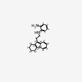 Nc1ccccc1NCCc1c2c(n3ccccc13)CCCC2